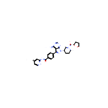 Nc1ncnc2c1c(-c1ccc(C(=O)Nc3cc(C(F)(F)F)ccn3)cc1)nn2[C@@H]1CCCN(C(=O)[C@H]2CCCO2)C1